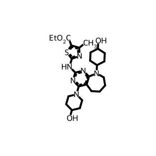 CCOC(=O)c1sc(Nc2nc(N3CCC(O)CC3)c3c(n2)N(C2CCC(O)CC2)CCCC3)nc1C